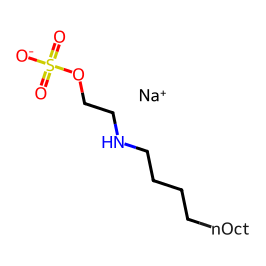 CCCCCCCCCCCCNCCOS(=O)(=O)[O-].[Na+]